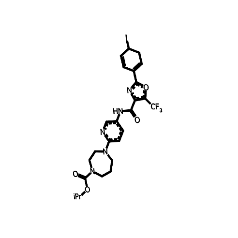 CC(C)OC(=O)N1CCCN(c2ccc(NC(=O)c3nc(C4=CCC(I)C=C4)oc3C(F)(F)F)cn2)CC1